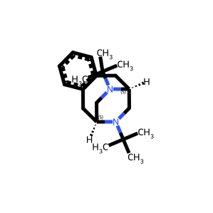 CC(C)(C)N1C[C@@H]2Cc3ccccc3C[C@H]1CN2C(C)(C)C